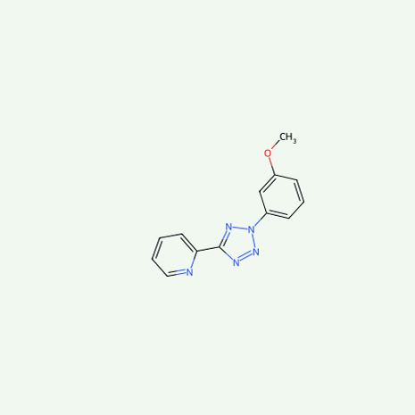 COc1cccc(-n2nnc(-c3ccccn3)n2)c1